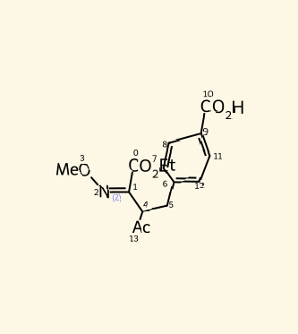 CCOC(=O)/C(=N\OC)C(Cc1ccc(C(=O)O)cc1)C(C)=O